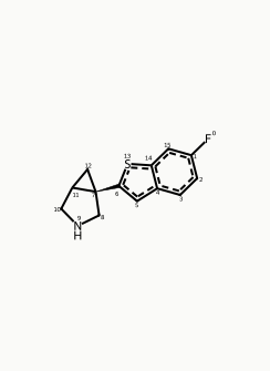 Fc1ccc2cc([C@@]34CNCC3C4)sc2c1